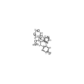 CCCOC(C(Cc1ccc(F)cc1)n1cncn1)C1(C)COCOC1